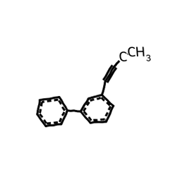 CCC#Cc1cccc(-c2ccccc2)c1